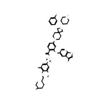 CC(=O)N1CC[C@H](N2CC3(CCN(c4ccc(C(=O)NS(=O)(=O)c5cc6c(c([N+](=O)[O-])c5)N[C@@H]([C@H]5CC[C@](C)(O)CC5)CO6)c(Oc5cnc6[nH]cc(F)c6c5)c4)CC3)C2)[C@H](c2ccccc2C(C)C)C1